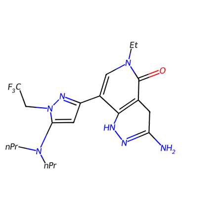 CCCN(CCC)c1cc(-c2cn(CC)c(=O)c3c2NN=C(N)C3)nn1CC(F)(F)F